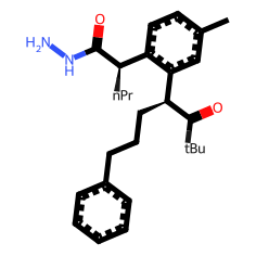 CCC[C@@H](C(=O)NN)c1ccc(C)cc1[C@H](CCCc1ccccc1)C(=O)C(C)(C)C